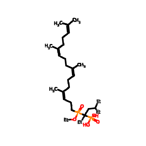 CCOP(=O)(CCC=C(C)CCC=C(C)CCC=C(C)CCC=C(C)C)C(CC)(CC(CC)CC)P(=O)(O)O